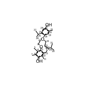 CCOc1c(C)c(C)c(O)c(C)c1CN(CCOc1cc(C)c(O)cc1C(C)C)C(C)C